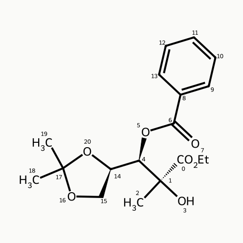 CCOC(=O)[C@@](C)(O)[C@H](OC(=O)c1ccccc1)[C@H]1COC(C)(C)O1